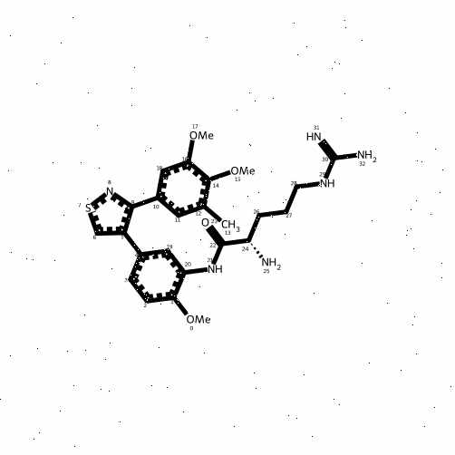 COc1ccc(-c2csnc2-c2cc(C)c(OC)c(OC)c2)cc1NC(=O)[C@@H](N)CCCNC(=N)N